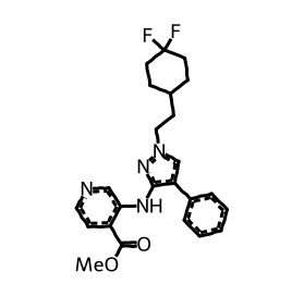 COC(=O)c1ccncc1Nc1nn(CCC2CCC(F)(F)CC2)cc1-c1ccccc1